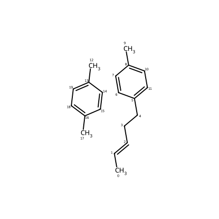 CC=CCCc1ccc(C)cc1.Cc1ccc(C)cc1